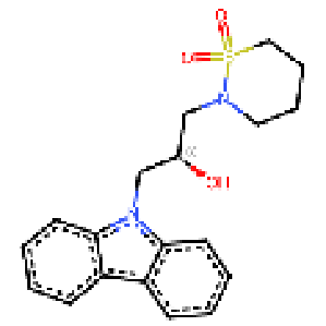 O=S1(=O)CCCCN1C[C@@H](O)Cn1c2ccccc2c2ccccc21